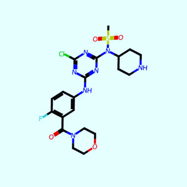 CS(=O)(=O)N(c1nc(Cl)nc(Nc2ccc(F)c(C(=O)N3CCOCC3)c2)n1)C1CCNCC1